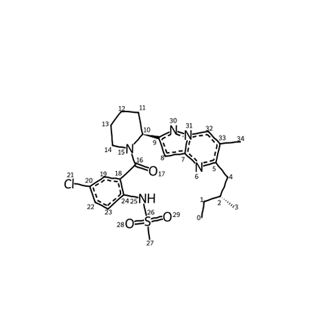 CC[C@@H](C)Cc1nc2cc([C@@H]3CCCCN3C(=O)c3cc(Cl)ccc3NS(C)(=O)=O)nn2cc1C